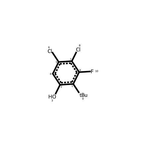 CC(C)(C)c1c(O)cc(Cl)c(Cl)c1F